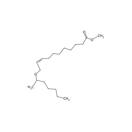 CCCCCC(C)OC/C=C\CCCCCCCC(=O)OC